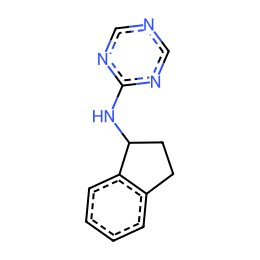 c1ccc2c(c1)CCC2Nc1ncncn1